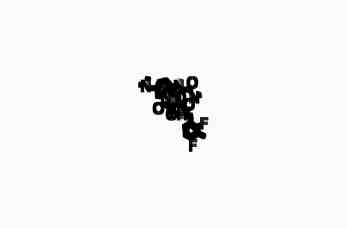 Cc1c(F)ccc(CNC(=O)c2nc3n(c(=O)c2O)CC2(CN(C)C)CCC3(N(C)C(=O)C(=O)N(C)C)CC2)c1F